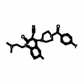 Cc1ccc2c(c1)c(N1CCN(C(=O)c3ccc(F)cc3)CC1)c(C#N)c(=O)n2CCN(C)C